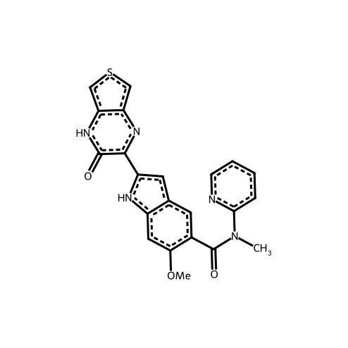 COc1cc2[nH]c(-c3nc4cscc4[nH]c3=O)cc2cc1C(=O)N(C)c1ccccn1